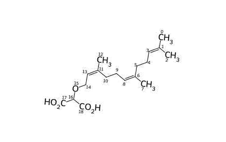 CC(C)=CCCC(C)=CCCC(C)=CCOC(C(=O)O)C(=O)O